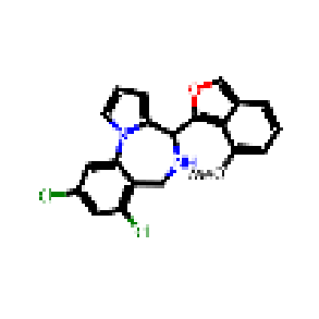 COc1cccc2coc(C3NCc4c(Cl)cc(Cl)cc4-n4cccc43)c12